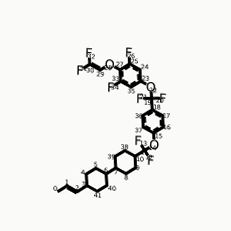 C/C=C/C1CCC(C2CCC(C(F)(F)Oc3ccc(C(F)(F)Oc4cc(F)c(OC=C(F)F)c(F)c4)cc3)CC2)CC1